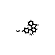 CCCc1ccc2[nH]c3ccccc3c2c1-c1ccc(OC)cc1